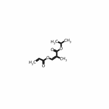 C=CC(=O)OC=C(C)C(=O)OC(C)C